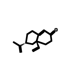 C=C[C@]12CCC(=O)C=C1CC[C@@H](C(=C)C)C2